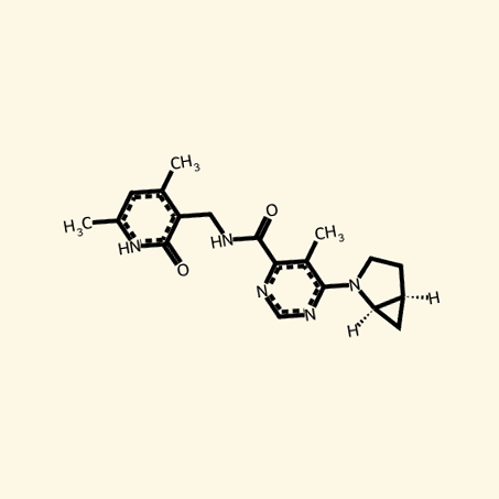 Cc1cc(C)c(CNC(=O)c2ncnc(N3CC[C@H]4C[C@H]43)c2C)c(=O)[nH]1